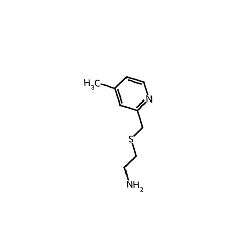 Cc1ccnc(CSCCN)c1